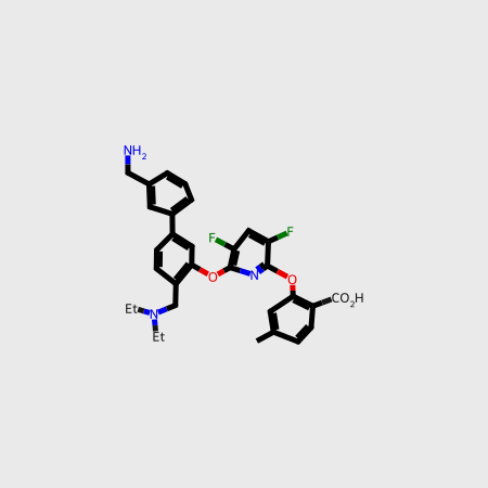 CCN(CC)Cc1ccc(-c2cccc(CN)c2)cc1Oc1nc(Oc2cc(C)ccc2C(=O)O)c(F)cc1F